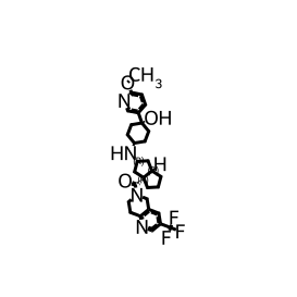 COc1ccc([C@]2(O)CC[C@H](N[C@@H]3C[C@H]4CCC[C@@]4(C(=O)N4CCc5ncc(C(F)(F)F)cc5C4)C3)CC2)cn1